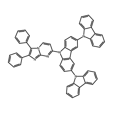 c1ccc(-c2nc3nc(-n4c5ccc(-n6c7ccccc7c7ccccc76)cc5c5cc(-n6c7ccccc7c7ccccc76)ccc54)ccn3c2-c2ccccc2)cc1